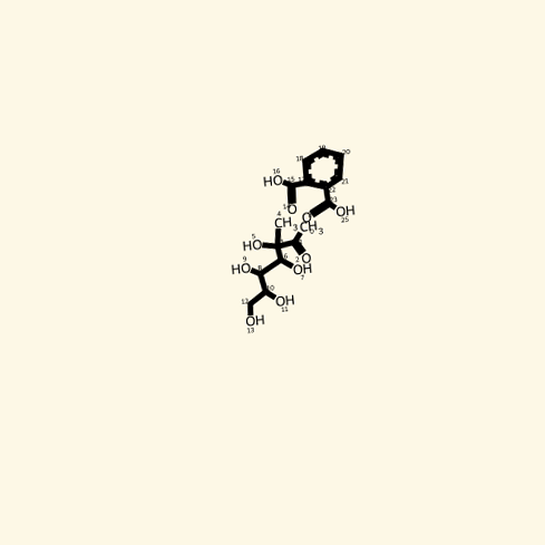 CC(=O)C(C)(O)C(O)C(O)C(O)CO.O=C(O)c1ccccc1C(=O)O